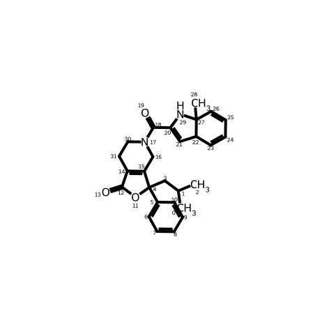 CC(C)CC1(c2ccccc2)OC(=O)C2=C1CN(C(=O)C1=CC3C=CC=CC3(C)N1)CC2